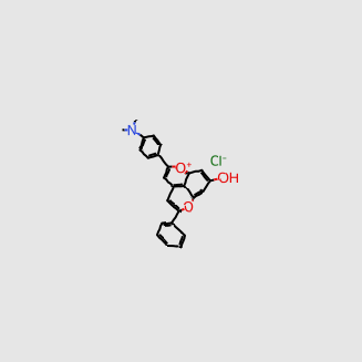 CN(C)c1ccc(-c2cc3c4c(cc(O)cc4[o+]2)OC(c2ccccc2)=C3)cc1.[Cl-]